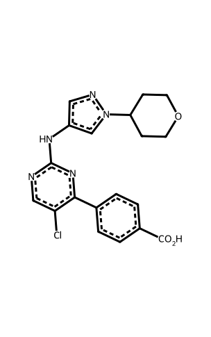 O=C(O)c1ccc(-c2nc(Nc3cnn(C4CCOCC4)c3)ncc2Cl)cc1